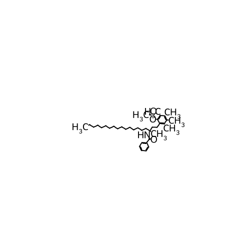 CCCCCCCCCCCCCCCCC(C)(CCc1c(C)c(C)c(C)c(C)c1OC(C)=O)NC(=O)c1ccccc1